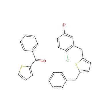 Clc1ccc(Br)cc1Cc1ccc(Cc2ccccc2)s1.O=C(c1ccccc1)c1cccs1